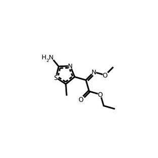 CCOC(=O)/C(=N\OC)c1nc(N)sc1C